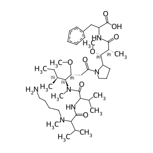 CC[C@H](C)[C@@H]([C@@H](CC(=O)N1CCCC1[C@H](OC)[C@@H](C)C(=O)NC(Cc1ccccc1)C(=O)O)OC)N(C)C(=O)C(NC(=O)C(C(C)C)N(C)CCCCN)C(C)C